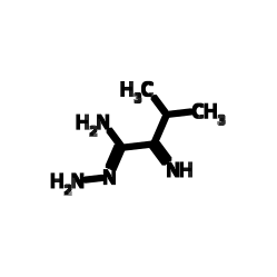 CC(C)C(=N)/C(N)=N/N